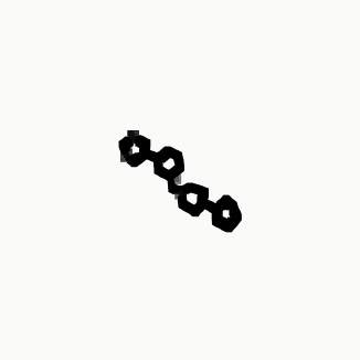 C1=C(c2ccccc2)CCN(C[C@@H]2CCC=C(c3cncnc3)C2)C1